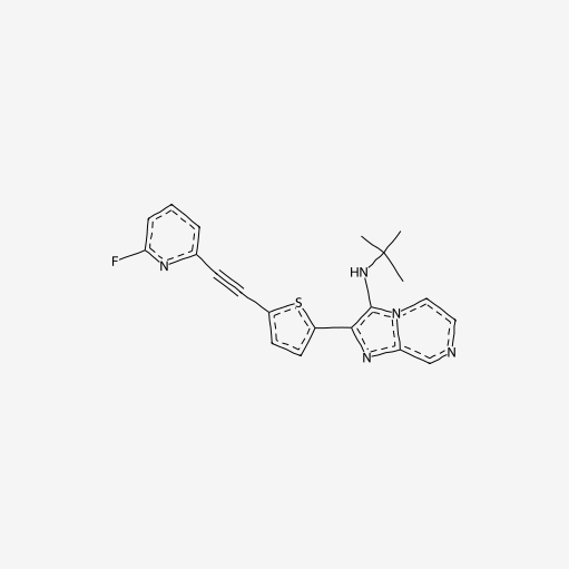 CC(C)(C)Nc1c(-c2ccc(C#Cc3cccc(F)n3)s2)nc2cnccn12